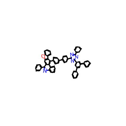 c1ccc(-c2cc(-c3ccccc3)cc(-c3nc(-c4ccccc4)nc(-c4ccc(-c5ccc(-c6c7c(cc8c(-c9ccccc9)nc9ccccc9c68)oc6ccccc67)cc5)cc4)n3)c2)cc1